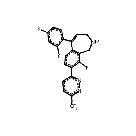 Fc1ccc(C2=CCNCc3c2ccc(-c2ccc(C(F)(F)F)nn2)c3F)c(F)c1